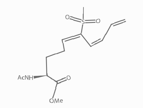 C=C/C=C\C(=C/CC[C@H](NC(C)=O)C(=O)OC)S(C)(=O)=O